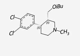 CC(C)COC[C@@H]1CN(C)CC[C@@H]1c1ccc(Cl)c(Cl)c1